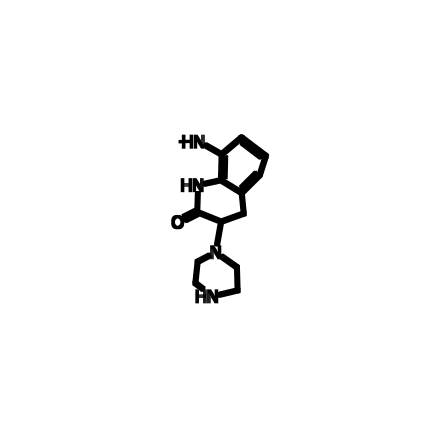 [NH]c1cccc2c1NC(=O)C(N1CCNCC1)C2